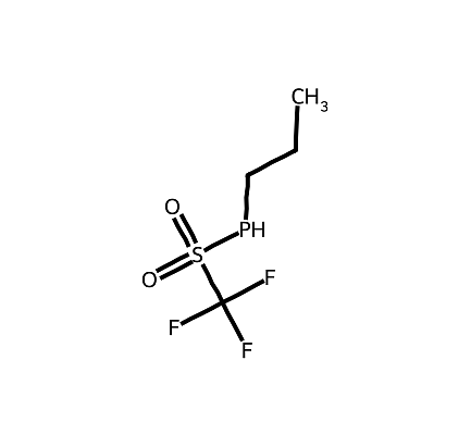 CCCPS(=O)(=O)C(F)(F)F